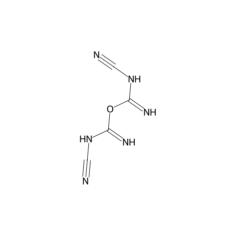 N#CNC(=N)OC(=N)NC#N